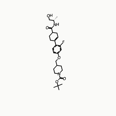 C[C@@H](CO)NC(=O)C1CC=C(c2ccc(OCC3CCN(C(=O)OC(C)(C)C)CC3)cc2F)CC1